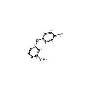 COc1cccc(Oc2ccc(Br)cc2)n1